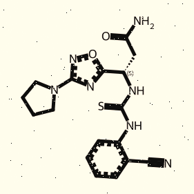 N#Cc1ccccc1NC(=S)N[C@@H](CC(N)=O)c1nc(N2CCCC2)no1